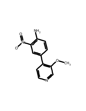 COc1cnccc1-c1ccc(N)c([N+](=O)[O-])c1